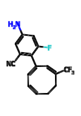 N#Cc1cc(N)cc(F)c1C1=C/C=C\CC/C(C(F)(F)F)=C\1